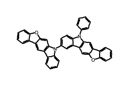 c1ccc(-n2c3ccc(-n4c5ccccc5c5cc6c(cc54)oc4ccccc46)cc3c3cc4oc5ccccc5c4cc32)cc1